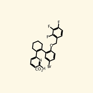 O=C(O)c1cccc(C2=C(c3cc(Br)ccc3OCc3ccc(F)c(F)c3F)CCCC2)n1